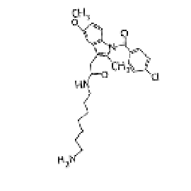 COc1ccc2c(c1)c(CC(=O)NCCCCCCCN)c(C)n2C(=O)c1ccc(Cl)cc1